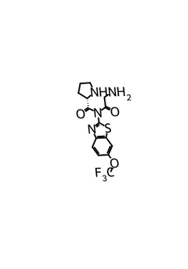 NCC(=O)N(C(=O)[C@@H]1CCCN1)c1nc2ccc(OC(F)(F)F)cc2s1